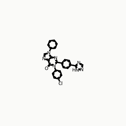 O=c1c2ncn(-c3ccccc3)c2nc(-c2ccc(-c3ncn[nH]3)cc2)n1-c1ccc(Cl)cc1